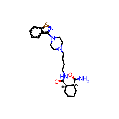 NC(=O)[C@H]1CCCC[C@H]1C(=O)NCCCCN1CCN(c2nsc3ccccc23)CC1